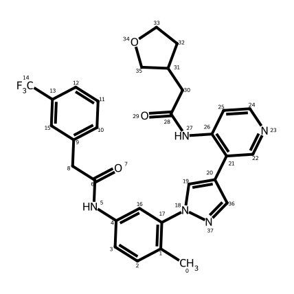 Cc1ccc(NC(=O)Cc2cccc(C(F)(F)F)c2)cc1-n1cc(-c2cnccc2NC(=O)CC2CCOC2)cn1